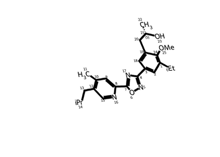 CCc1cc(-c2noc(-c3cc(C)c(CC(C)C)cn3)n2)cc(C[C@H](C)O)c1OC